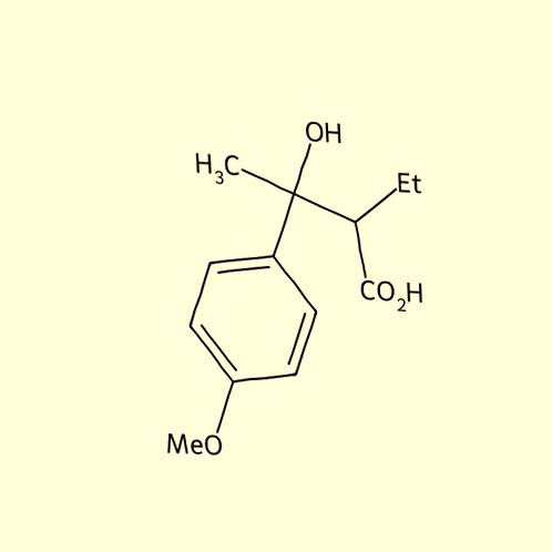 CCC(C(=O)O)C(C)(O)c1ccc(OC)cc1